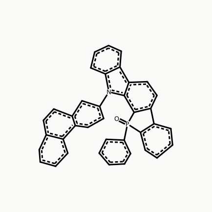 O=P1(c2ccccc2)c2ccccc2-c2ccc3c4ccccc4n(-c4ccc5c(ccc6ccccc65)c4)c3c21